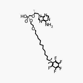 C[C@H](Cn1cnc2c(N)ncnc21)OCP(=O)(O)OCCOCCCCCCCCCCCCS(C)(C)c1c(F)c(F)c(F)c(F)c1F